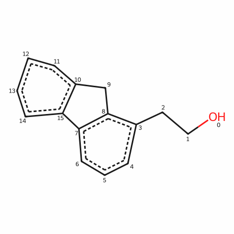 OCCc1cccc2c1Cc1ccccc1-2